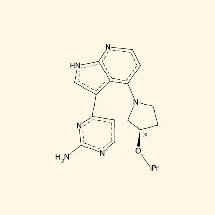 CC(C)O[C@@H]1CCN(c2ccnc3[nH]cc(-c4ccnc(N)n4)c23)C1